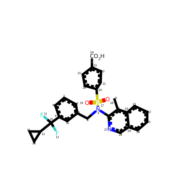 Cc1c(N(Cc2cccc(C(F)(F)C3CC3)c2)S(=O)(=O)c2ccc(C(=O)O)cc2)ncc2ccccc12